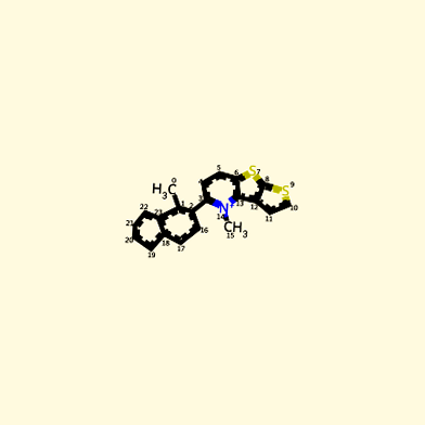 Cc1c(-c2ccc3sc4sccc4c3[n+]2C)ccc2ccccc12